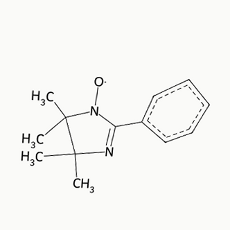 CC1(C)N=C(c2ccccc2)N([O])C1(C)C